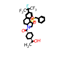 C=C(O)[C@H]1CC[C@H](C(=O)N2CCC3(S(=O)(=O)Cc4ccccc4)c4ccc(C(F)(C(F)(F)F)C(F)(F)F)cc4CCC23)CC1